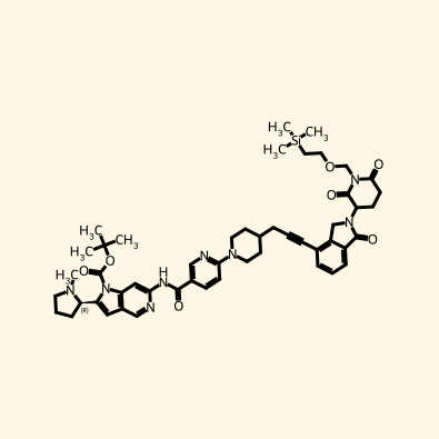 CN1CCC[C@@H]1c1cc2cnc(NC(=O)c3ccc(N4CCC(CC#Cc5cccc6c5CN(C5CCC(=O)N(COCC[Si](C)(C)C)C5=O)C6=O)CC4)nc3)cc2n1C(=O)OC(C)(C)C